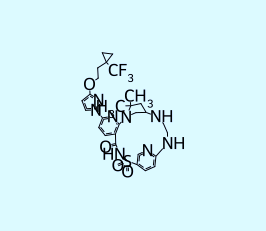 CC1(C)CC2CN1c1nc(-n3ccc(OCCC4(C(F)(F)F)CC4)n3)ccc1C(=O)NS(=O)(=O)c1ccc(nc1)NCCN2